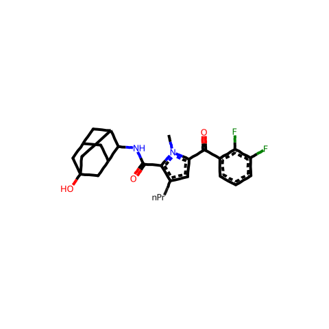 CCCc1cc(C(=O)c2cccc(F)c2F)n(C)c1C(=O)NC1C2CC3CC1CC(O)(C3)C2